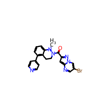 CN1c2cccc(-c3ccncc3)c2CCN1C(=O)c1cc2ncc(Br)cn2n1